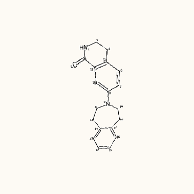 O=C1NCCc2ccc(N3CCc4ccccc4CC3)cc21